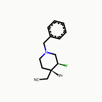 CC(C)[C@@]1(CC#N)CCN(Cc2ccccc2)C[C@H]1F